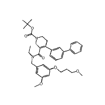 CCN(Cc1cc(OC)cc(OCCCOC)c1)C(=O)C1=C(c2cccc(-c3ccccc3)c2)CCN(C(=O)OC(C)(C)C)C1